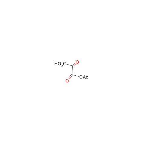 CC(=O)OC(=O)C(=O)C(=O)O